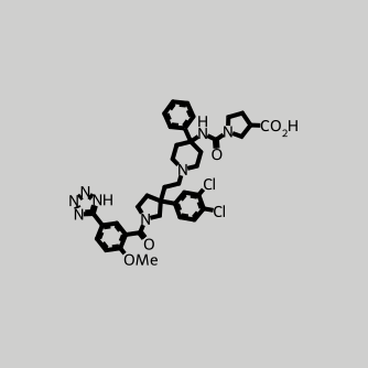 COc1ccc(-c2nnn[nH]2)cc1C(=O)N1CCC(CCN2CCC(NC(=O)N3CCC(C(=O)O)C3)(c3ccccc3)CC2)(c2ccc(Cl)c(Cl)c2)C1